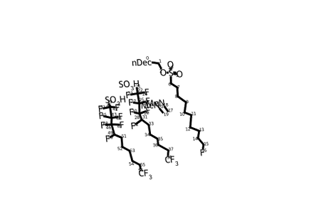 CCCCCCCCCCCOS(=O)(=O)CCCCCCCCCCF.CNC.CNC.O=S(=O)(O)C(F)(F)C(F)(F)C(F)(F)C(F)CCCCCC(F)(F)F.O=S(=O)(O)C(F)(F)C(F)(F)C(F)(F)C(F)CCCCCC(F)(F)F